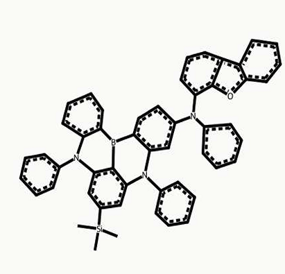 C[Si](C)(C)c1cc2c3c(c1)N(c1ccccc1)c1cc(N(c4ccccc4)c4cccc5c4oc4ccccc45)ccc1B3c1ccccc1N2c1ccccc1